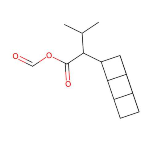 CC(C)C(C(=O)OC=O)C1C2C3CC4C3C2C41